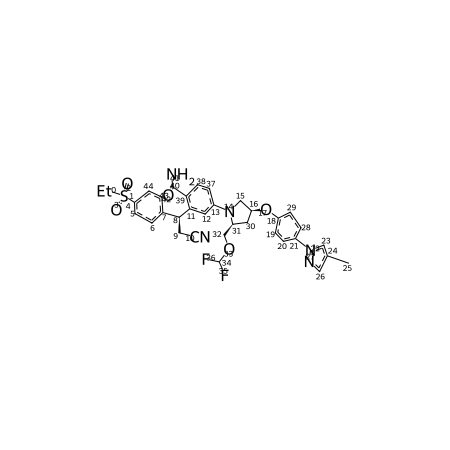 CCS(=O)(=O)c1ccc([C@H](CC#N)c2cc(N3C[C@@H](Oc4ccc(-n5cc(C)cn5)cc4)C[C@H]3COC(F)F)ccc2C(N)=O)cc1